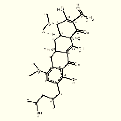 CC(O)CN(C)Cc1cc(N(C)C)c2c(c1O)C(=O)C1=C(O)[C@]3(O)C(=O)C(C(N)=O)=C(O)[C@@H](N(C)C)[C@@H]3C[C@@H]1C2